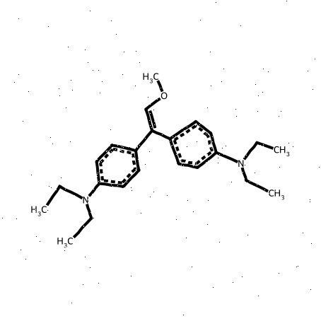 CCN(CC)c1ccc(C(=COC)c2ccc(N(CC)CC)cc2)cc1